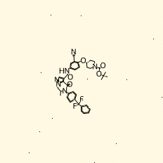 CC1Cn2ncc(C(=O)Nc3ccc(OC4CCN(C(=O)OC(C)(C)C)CC4)c(C#N)c3)c2C(=O)N1c1ccc(C(F)(F)c2ccccc2)cc1